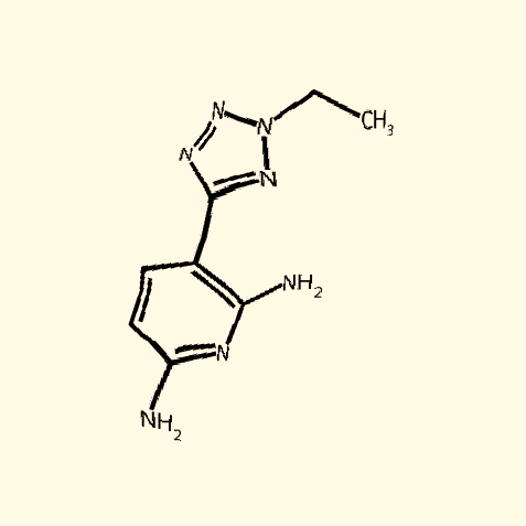 CCn1nnc(-c2ccc(N)nc2N)n1